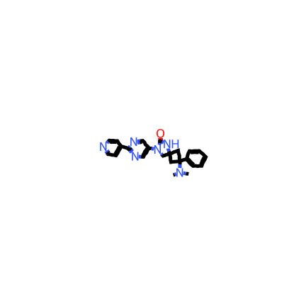 CN(C)C1(c2ccccc2)CC2(CN(c3cnc(-c4ccncc4)nc3)C(=O)N2)C1